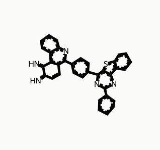 N=C1C=Cc2c(-c3ccc(-c4nc(-c5ccccc5)nc5c4sc4ccccc45)cc3)nc3ccccc3c2C1=N